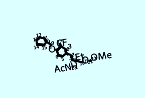 CCC(C=Cc1ccc(OCc2ccccc2)c(C(F)(F)F)c1)(COCOC)NC(C)=O